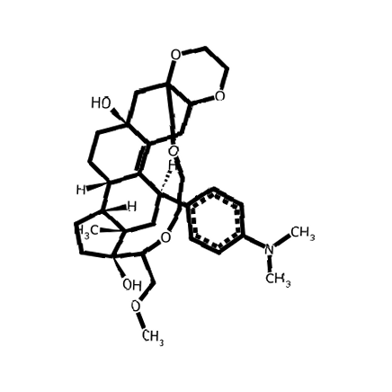 COCC1OCCOC23C[C@@]4(O)CC[C@@H]5C(=C4CC2OCCO3)[C@@H](c2ccc(N(C)C)cc2)C[C@@]2(C)[C@@H]5CC[C@@]12O